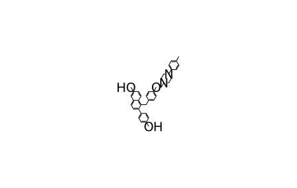 Cc1ccc(N2CCN(COc3ccc(Cc4c(-c5ccc(O)cc5)ccc5cc(O)ccc45)cc3)CC2)cc1